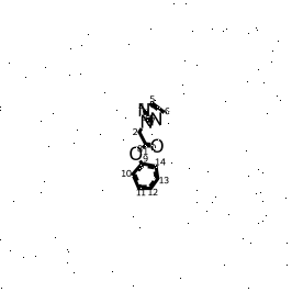 O=C(Cn1nccn1)Oc1ccccc1